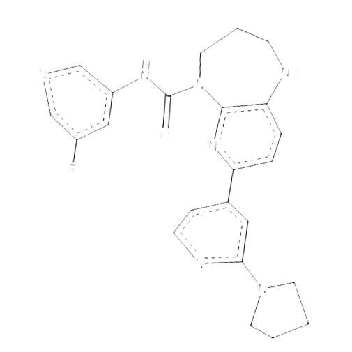 O=C(Nc1cncc(F)c1)N1CCCNc2ccc(-c3ccnc(N4CCCC4)c3)nc21